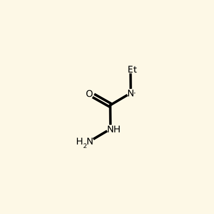 CC[N]C(=O)NN